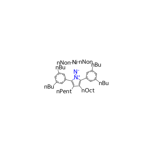 CCCCCCCCC1=C(c2cc(CCCC)cc(CCCC)c2)[N+](=[N-])C(c2cc(CCCC)cc(CCCC)c2)=C1CCCCC.CCCCCCCC[CH2][Ni][CH2]CCCCCCCC